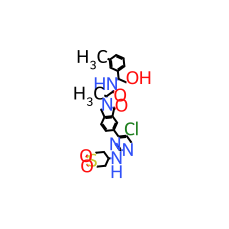 Cc1cccc(C(CO)NC(=O)C(C)N2Cc3ccc(-c4nc(NC5CCS(=O)(=O)CC5)ncc4Cl)cc3C2=O)c1